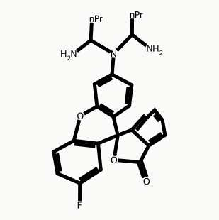 CCCC(N)N(c1ccc2c(c1)Oc1ccc(F)cc1C21OC(=O)c2ccccc21)C(N)CCC